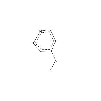 [CH2]Sc1ccncc1C